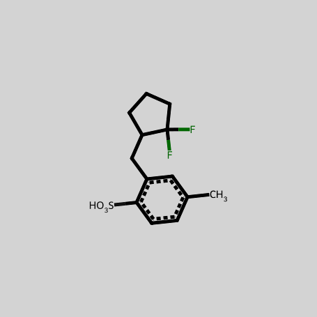 Cc1ccc(S(=O)(=O)O)c(CC2CCCC2(F)F)c1